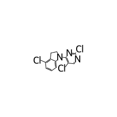 Clc1ncc(Cl)c(N2CCc3c(Cl)cccc32)n1